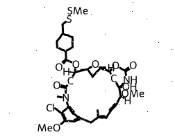 COc1cc2cc(c1Cl)N(C)C(=O)C[C@H](OC(=O)C1CCC(CSSC)CC1)[C@@]1(C)CC(C)(O1)[C@@H]1C[C@@](O)(NC(=O)O1)[C@H](OC)/C=C/C=C(\C)C2